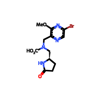 COc1nc(Br)cnc1CN(C[C@@H]1CCC(=O)N1)C(=O)O